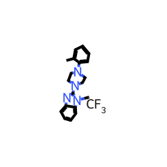 Cc1ccccc1N1CCN(c2nc3ccccc3n2CC(F)(F)F)CC1